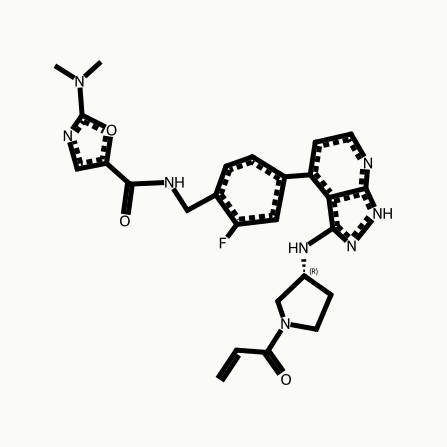 C=CC(=O)N1CC[C@@H](Nc2n[nH]c3nccc(-c4ccc(CNC(=O)c5cnc(N(C)C)o5)c(F)c4)c23)C1